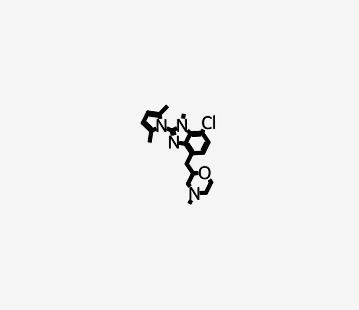 Cc1ccc(C)n1-c1nc2c(CC3CN(C)CCO3)ccc(Cl)c2n1C